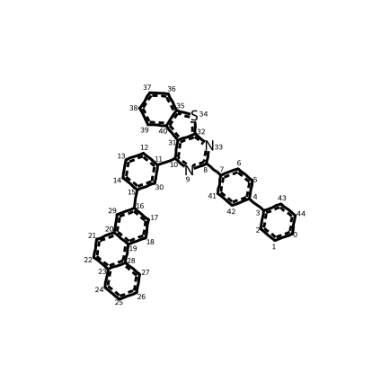 c1ccc(-c2ccc(-c3nc(-c4cccc(-c5ccc6c(ccc7ccccc76)c5)c4)c4c(n3)sc3ccccc34)cc2)cc1